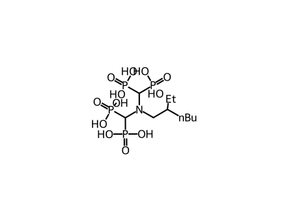 CCCCC(CC)CN(C(P(=O)(O)O)P(=O)(O)O)C(P(=O)(O)O)P(=O)(O)O